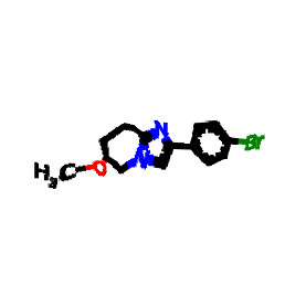 COC1CCc2nc(-c3ccc(Br)cc3)cn2C1